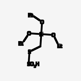 CCO[Si](CSS(=O)(=O)O)(OCC)OCC